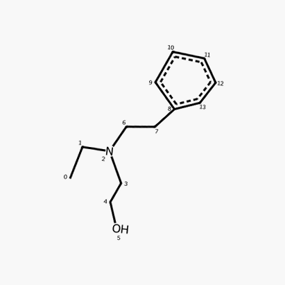 CCN(CCO)CCc1ccccc1